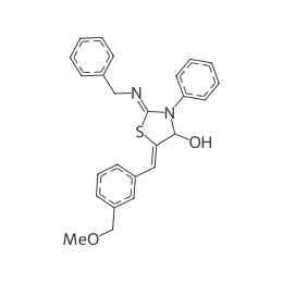 COCc1cccc(/C=C2\S/C(=N\Cc3ccccc3)N(c3ccccc3)C2O)c1